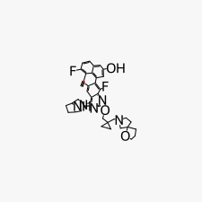 C#Cc1c(F)ccc2cc(O)cc(-c3c(C)cc4c(N5CC6CCC(C5)N6)nc(OCC5(CN6CCC7(CCCO7)C6)CC5)nc4c3F)c12